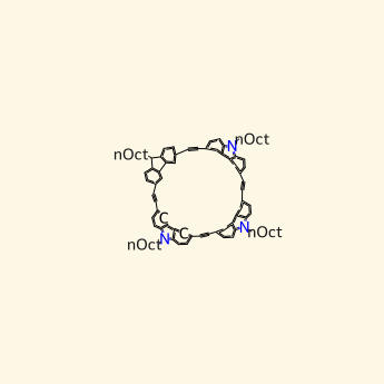 CCCCCCCCC1c2ccc3cc2-c2cc(ccc21)C#Cc1ccc2c(c1)c1cc(ccc1n2CCCCCCCC)C#Cc1ccc2c(c1)c1cc(ccc1n2CCCCCCCC)C#Cc1ccc2c(c1)c1cc(ccc1n2CCCCCCCC)C#C3